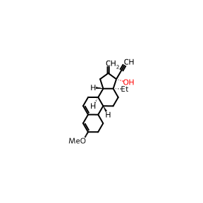 C#C[C@]1(O)C(=C)C[C@H]2[C@@H]3CC=C4C=C(OC)CCC4[C@H]3CC[C@@]21CC